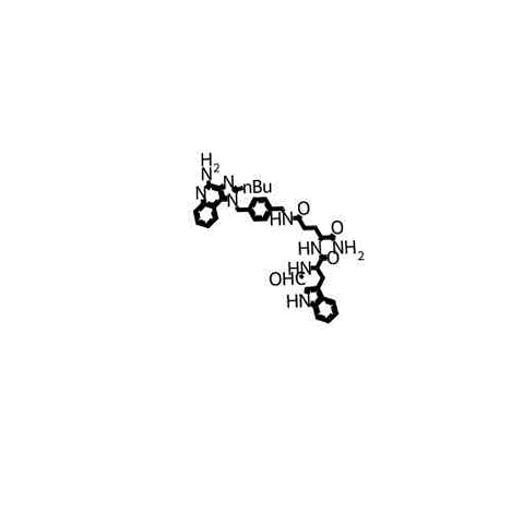 CCCCc1nc2c(N)nc3ccccc3c2n1Cc1ccc(CNC(=O)CCC(NC(=O)C(Cc2c[nH]c3ccccc23)NC=O)C(N)=O)cc1